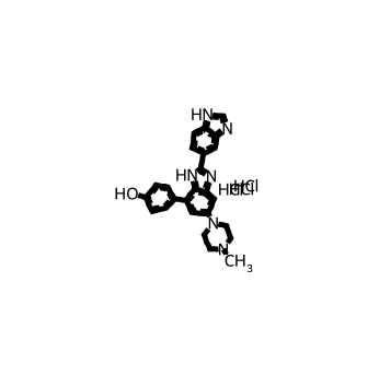 CN1CCN(c2cc(-c3ccc(O)cc3)c3[nH]c(-c4ccc5[nH]cnc5c4)nc3c2)CC1.Cl.Cl.Cl